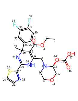 CCOC(=O)C1=C(CN2CCOC[C@@H]2OC(=O)O)NC(c2nccs2)=NC1(C)c1ccc(F)c(F)c1